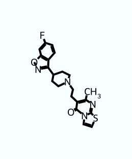 Cc1nc2sccn2c(=O)c1CCN1CCC(c2noc3cc(F)ccc23)CC1